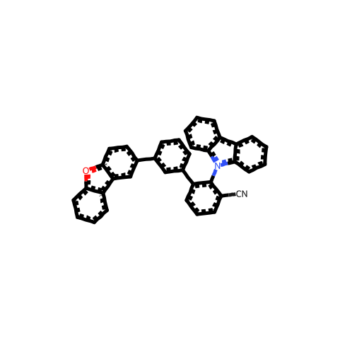 N#Cc1cccc(-c2cccc(-c3ccc4oc5ccccc5c4c3)c2)c1-n1c2ccccc2c2ccccc21